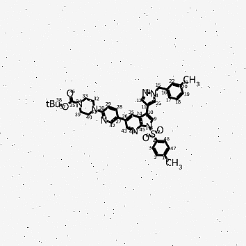 Cc1ccc(S(=O)(=O)n2cc(-c3cnn(Cc4cccc(C)c4)c3)c3cc(-c4ccc(N5CCN(C(=O)OC(C)(C)C)CC5)nc4)cnc32)cc1